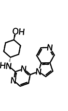 O[C@H]1CC[C@H](Nc2nccc(-n3ccc4cnccc43)n2)CC1